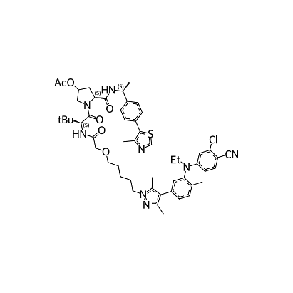 CCN(c1ccc(C#N)c(Cl)c1)c1cc(-c2c(C)nn(CCCCCOCC(=O)N[C@H](C(=O)N3CC(OC(C)=O)C[C@H]3C(=O)N[C@@H](C)c3ccc(-c4scnc4C)cc3)C(C)(C)C)c2C)ccc1C